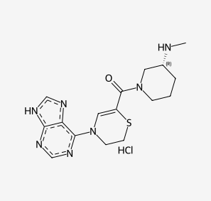 CN[C@@H]1CCCN(C(=O)C2=CN(c3ncnc4[nH]cnc34)CCS2)C1.Cl